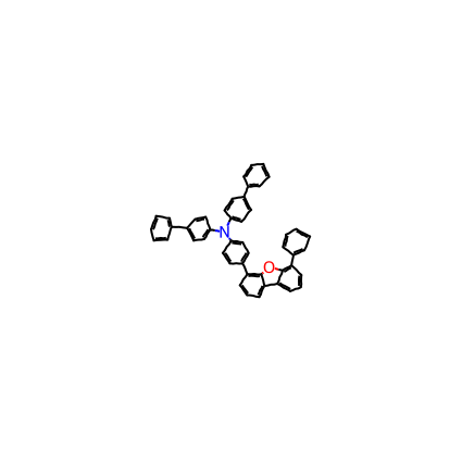 c1ccc(-c2ccc(N(c3ccc(-c4ccccc4)cc3)c3ccc(-c4cccc5c4oc4c(-c6ccccc6)cccc45)cc3)cc2)cc1